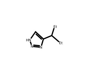 [CH2]CC(CC)c1c[nH]nn1